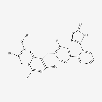 CCCCc1nc(C)n(CC(=NOC(C)C)C(C)(C)C)c(=O)c1Cc1ccc(-c2ccccc2-c2noc(=O)[nH]2)cc1F